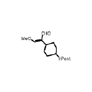 CCCCCC1CCC(C(C=O)=COC)CC1